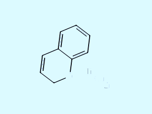 C1=Cc2ccccc2OC1.[Cu].[Ti].[Zr]